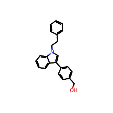 OCc1ccc(-c2cn(CCc3ccccc3)c3ccccc23)cc1